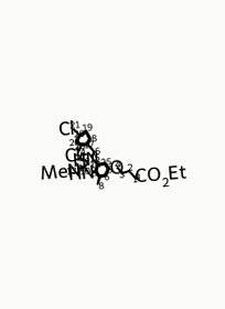 CCOC(=O)CCCOc1cc(C)c(NC(=S)NC)c(NCc2ccc(Cl)cc2Cl)c1